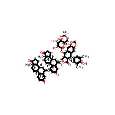 C=C1C[C@@H]2[C@H](CC[C@]3(C)C(=O)CC[C@@H]23)[C@@]2(C)C=CC(=O)C=C12.C=C1C[C@@H]2[C@H](CC[C@]3(C)C(=O)CC[C@@H]23)[C@@]2(C)C=CC(=O)C=C12.COc1cc([C@@H]2c3cc4c(cc3C(O[C@@H]3O[C@@H]5CO[C@@H](C)O[C@H]5[C@H](O)[C@H]3O)C3COC(=O)[C@@H]32)OCO4)cc(OC)c1O